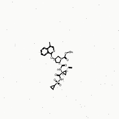 C=C[C@@H]1C[C@]1(NC(=O)[C@@H]1C[C@@H](Oc2ncc(C)c3ccccc23)CN1C(=O)OC(C)(C)C)C(=O)NS(=O)(=O)C1CC1